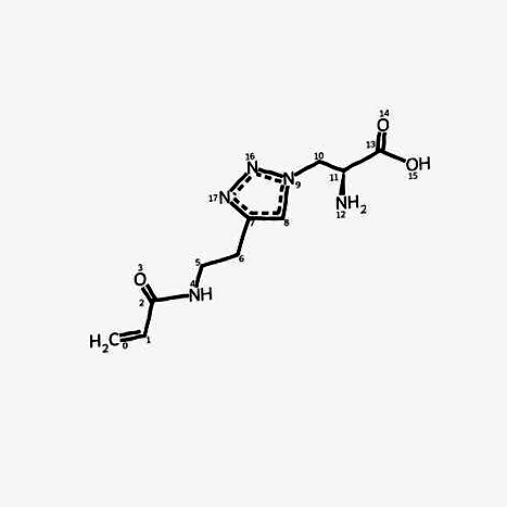 C=CC(=O)NCCc1cn(C[C@H](N)C(=O)O)nn1